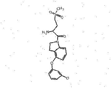 CS(=O)(=O)CCC(N)C(=O)N1CCc2c(Oc3cccc(Cl)c3)cccc21